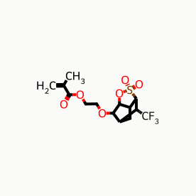 C=C(C)C(=O)OCCOC1C2CC3C1OS(=O)(=O)C3C2C(F)(F)F